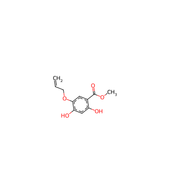 C=CCOc1cc(C(=O)OC)c(O)cc1O